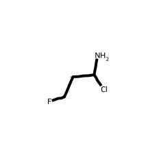 NC(Cl)[CH]CF